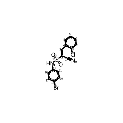 N#CC(=Cc1ccccc1Cl)S(=O)(=O)Nc1ccc(Br)cc1